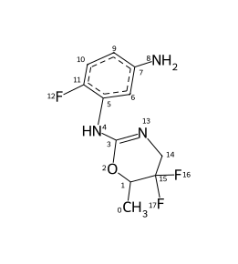 CC1OC(Nc2cc(N)ccc2F)=NCC1(F)F